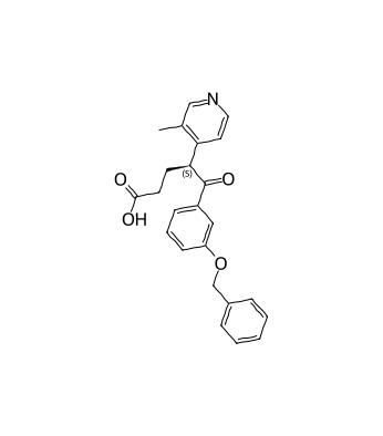 Cc1cnccc1[C@H](CCC(=O)O)C(=O)c1cccc(OCc2ccccc2)c1